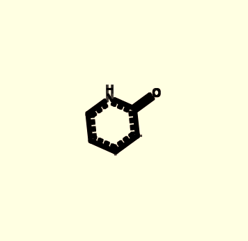 O=c1[c][c]cc[nH]1